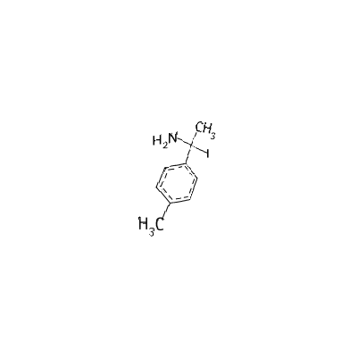 Cc1ccc(C(C)(N)I)cc1